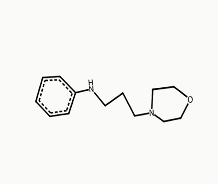 c1ccc(NCCCN2CCOCC2)cc1